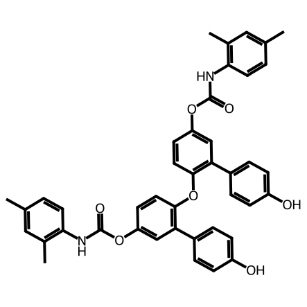 Cc1ccc(NC(=O)Oc2ccc(Oc3ccc(OC(=O)Nc4ccc(C)cc4C)cc3-c3ccc(O)cc3)c(-c3ccc(O)cc3)c2)c(C)c1